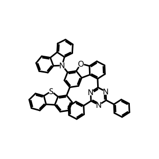 c1ccc(-c2nc(-c3ccccc3)nc(-c3cccc4oc5c(-n6c7ccccc7c7ccccc76)cc(-c6cccc7c6sc6ccccc67)cc5c34)n2)cc1